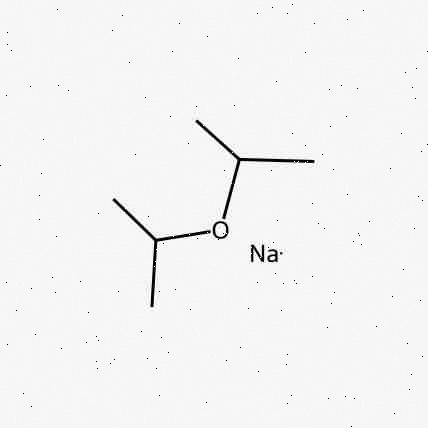 CC(C)OC(C)C.[Na]